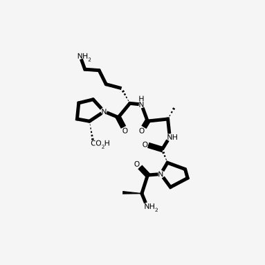 C[C@H](N)C(=O)N1CCC[C@H]1C(=O)N[C@@H](C)C(=O)N[C@@H](CCCCN)C(=O)N1CCC[C@H]1C(=O)O